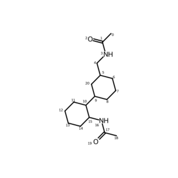 CC(=O)NCC1CCCC(C2CCCCC2NC(C)=O)C1